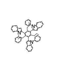 CCCc1c(-c2cc3ccccc3n2-c2ccccc2)c(CCC)c(-c2cc3ccccc3n2-c2ccccc2)c(CCC)c1-c1cc2ccccc2n1-c1ccccc1